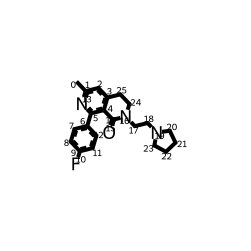 Cc1cc2c(c(-c3ccc(F)cc3)n1)C(=O)N(CCN1CCCC1)CC2